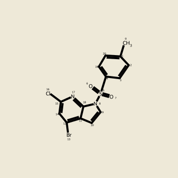 Cc1ccc(S(=O)(=O)n2ccc3c(Br)cc(Cl)nc32)cc1